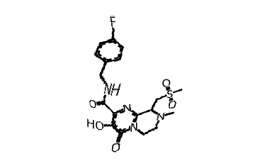 CN1CCn2c(nc(C(=O)NCc3ccc(F)cc3)c(O)c2=O)C1CS(C)(=O)=O